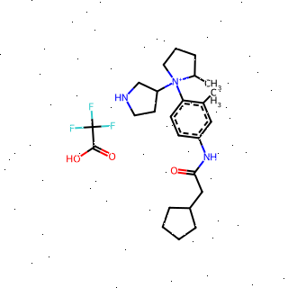 Cc1cc(NC(=O)CC2CCCC2)ccc1[N+]1(C2CCNC2)CCCC1C.O=C(O)C(F)(F)F